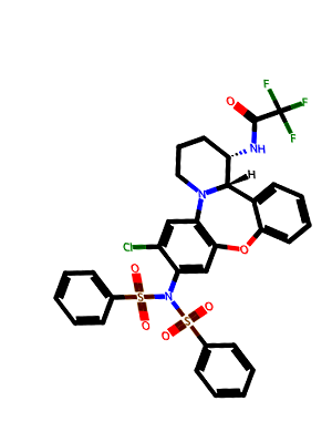 O=C(N[C@H]1CCCN2c3cc(Cl)c(N(S(=O)(=O)c4ccccc4)S(=O)(=O)c4ccccc4)cc3Oc3ccccc3[C@@H]12)C(F)(F)F